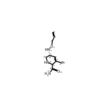 C=CCON[C@@H]1C=C(C(C)C)C(C(N)=O)NC1